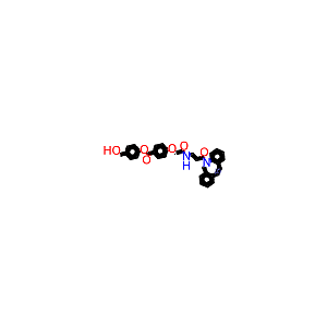 O=C(COc1ccc(C(=O)Oc2ccc(CO)cc2)cc1)NCCC(=O)N1Cc2ccccc2/C=C\c2ccccc21